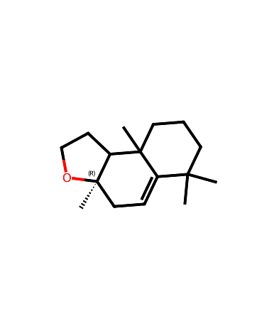 CC1(C)CCCC2(C)C1=CC[C@@]1(C)OCCC21